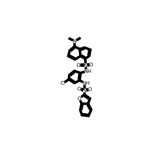 CN(C)c1cccc2c(S(=O)(=O)Nc3ccc(Cl)cc3NS(=O)(=O)c3cc4ccccc4o3)cccc12